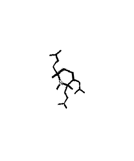 CC(C)CCC1(C)CCC(CC(C)C)C(C)(CCC(C)C)N1C